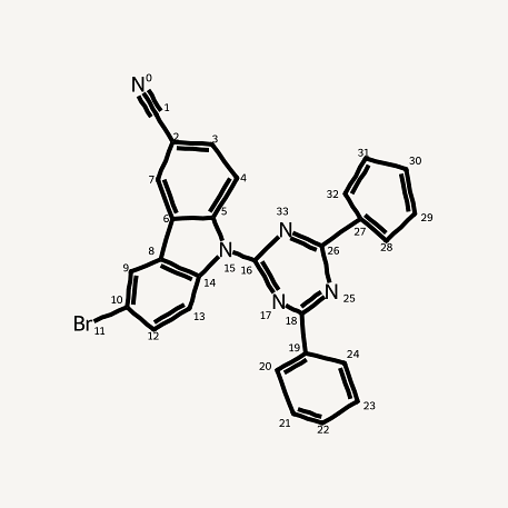 N#Cc1ccc2c(c1)c1cc(Br)ccc1n2-c1nc(-c2ccccc2)nc(-c2ccccc2)n1